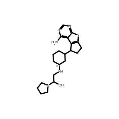 Nc1ncnc2sc3c(c12)C(C1CCC[C@H](NCC(O)N2CCCC2)C1)CC3